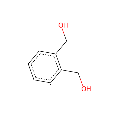 OCc1[c]cccc1CO